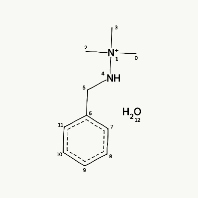 C[N+](C)(C)NCc1ccccc1.O